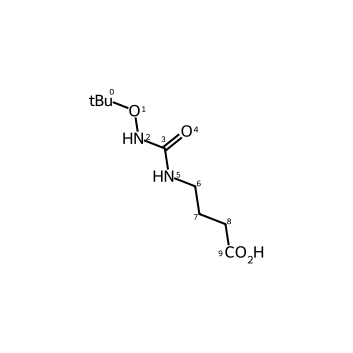 CC(C)(C)ONC(=O)NCCCC(=O)O